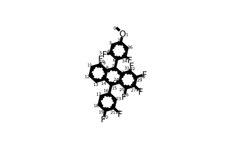 COc1cc(F)c(-c2c3c(F)cccc3c(-c3ccc(F)c(F)c3)c3c(F)c(F)c(F)c(F)c23)c(F)c1